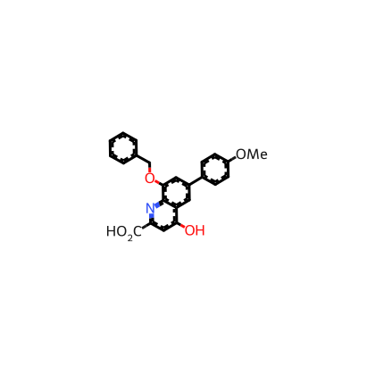 COc1ccc(-c2cc(OCc3ccccc3)c3nc(C(=O)O)cc(O)c3c2)cc1